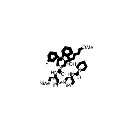 CNC[C@H](CC(C)C)NC(=O)N1CCCCC1.CNC[C@H](CC(C)C)NC(=O)N1CCC[C@@H]([C@@](O)(CCCCOC)c2ccccc2Oc2cccc(F)c2)C1